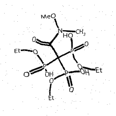 CCOP(=O)(O)C(C(=O)N(C)OC)(P(=O)(O)OCC)P(=O)(O)OCC